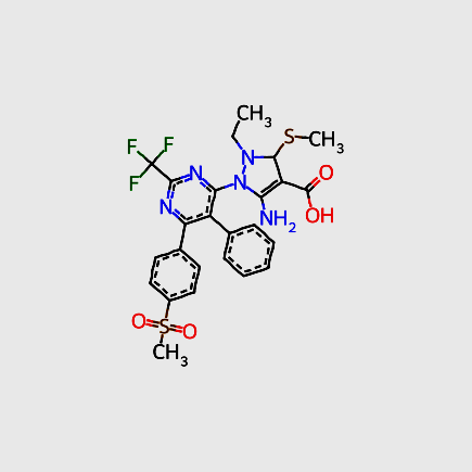 CCN1C(SC)C(C(=O)O)=C(N)N1c1nc(C(F)(F)F)nc(-c2ccc(S(C)(=O)=O)cc2)c1-c1ccccc1